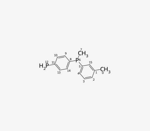 Cc1cccc(P(C)c2ccc(P)cc2)c1